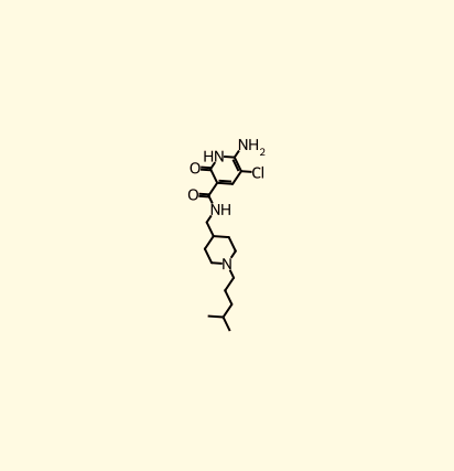 CC(C)CCCN1CCC(CNC(=O)c2cc(Cl)c(N)[nH]c2=O)CC1